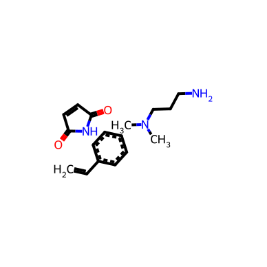 C=Cc1ccccc1.CN(C)CCCN.O=C1C=CC(=O)N1